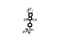 CCn1c(-c2ccc(NS(=O)(=O)C(C)C)cc2)c(C#N)c2ccc(OC(F)(F)F)cc21